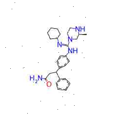 C[C@H]1CN(/C(=N\C2CCCCC2)Nc2ccc(C(CC(N)=O)c3ccccc3)cc2)CCN1